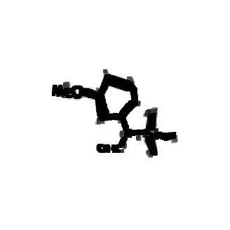 COc1cccc(N(C=O)[Si](C)(C)C)c1